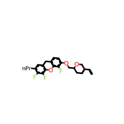 C=CC1CCC(COc2ccc3c(c2F)Oc2c(cc(CCC)c(F)c2F)C3)OC1